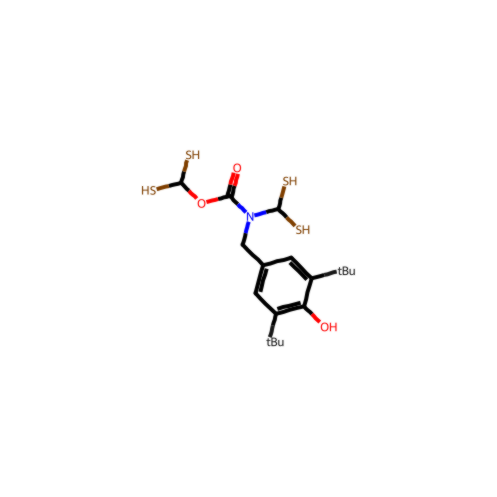 CC(C)(C)c1cc(CN(C(=O)OC(S)S)C(S)S)cc(C(C)(C)C)c1O